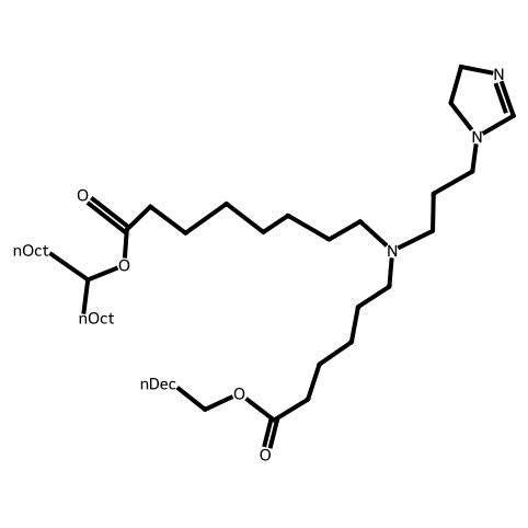 CCCCCCCCCCCOC(=O)CCCCCN(CCCCCCCC(=O)OC(CCCCCCCC)CCCCCCCC)CCCN1C=NCC1